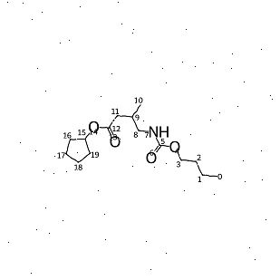 CCCCOC(=O)NCC(C)CC(=O)OC1CCCC1